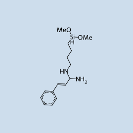 CO[SiH](CCCCNC(N)C=Cc1ccccc1)OC